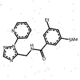 CCc1cc(SC)cc(C(=O)NCc2ncnn2-c2ccccn2)c1